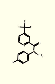 CN(C(=O)c1cc(C(F)(F)F)ccn1)c1ccc(F)cc1